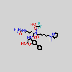 NC(=O)NCCCC[C@H](NC(=O)CCCCCNc1ccccn1)C(=O)NC(CC(=O)O)c1ccc(-c2ccccc2)cc1.O=C(O)C(F)(F)F